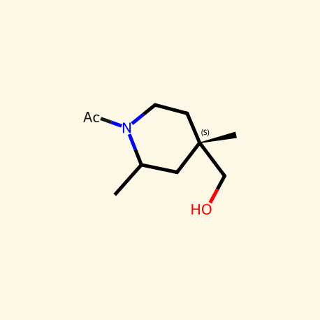 CC(=O)N1CC[C@](C)(CO)CC1C